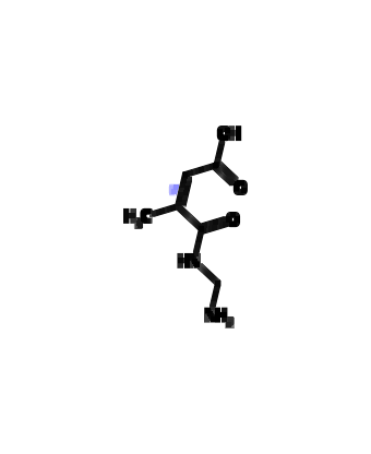 C/C(=C/C(=O)O)C(=O)NCN